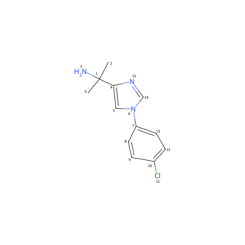 CC(C)(N)c1cn(-c2ccc(Cl)cc2)cn1